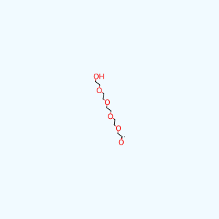 O=[C]COCCOCCOCCOCCO